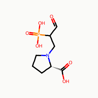 O=CC(CN1CCC[C@H]1C(=O)O)P(=O)(O)O